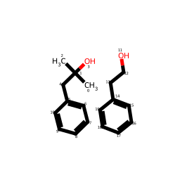 CC(C)(O)Cc1ccccc1.OCCc1ccccc1